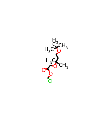 CC(C)(C)OCCC(C)(C)OCC(=O)OCCl